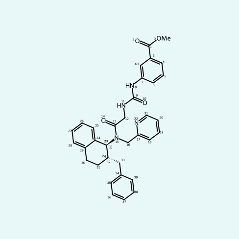 COC(=O)c1cccc(NC(=O)NCC(=O)N(Cc2ccccn2)[C@@H]2c3ccccc3CC[C@H]2Cc2ccccc2)c1